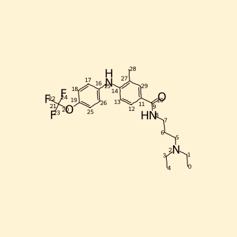 CCN(CC)CCCNC(=O)c1ccc(Nc2ccc(OC(F)(F)F)cc2)c(C)c1